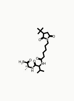 BC(=O)[C@@H](C)NC(=O)C(NC(=O)CCCCCN1C(=O)CC(C(C)(C)C)C1=O)C(C)C